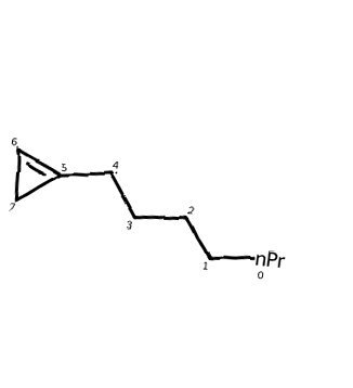 CCCCCC[CH]C1=CC1